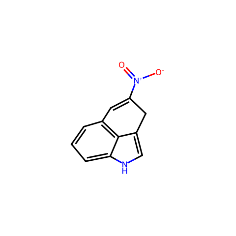 O=[N+]([O-])C1=Cc2cccc3[nH]cc(c23)C1